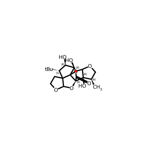 C[C@@H]1COC2[C@H](O)C34C5OC(=O)[C@]3(OC3OCCC34[C@H](C(C)(C)C)[C@H]5O)[C@]21O